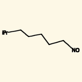 CC(C)CCCCCN=O